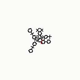 Cc1cc2c3c(c1)N(c1ccc(C(C)(C)C)cc1-c1ccccc1-c1ccccc1)c1cc4c(cc1B3c1cc(C(C)(C)c3ccccc3)ccc1N2c1ccc(C(C)(C)c2ccccc2)cc1)C(C)(C)CCC4(C)C